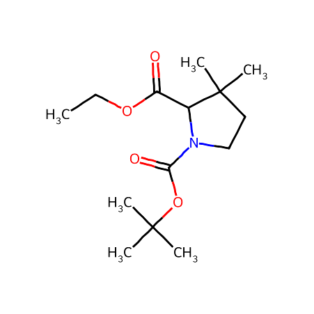 CCOC(=O)C1N(C(=O)OC(C)(C)C)CCC1(C)C